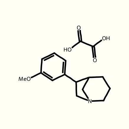 COc1cccc(C2CN3CCCC2C3)c1.O=C(O)C(=O)O